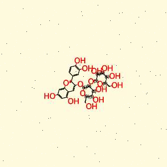 OC[C@H]1O[C@@H](O[C@H]2[C@H](Oc3cc4c(O)cc(O)cc4[o+]c3-c3ccc(O)c(O)c3)O[C@H](CO)[C@@H](O)[C@@H]2O)[C@H](O)[C@@H](O)[C@@H]1O